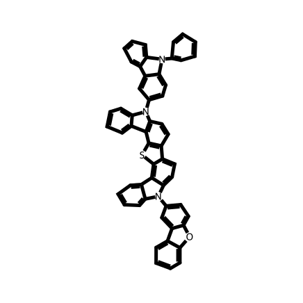 c1ccc(-n2c3ccccc3c3cc(-n4c5ccccc5c5c6sc7c(ccc8c7c7ccccc7n8-c7ccc8oc9ccccc9c8c7)c6ccc54)ccc32)cc1